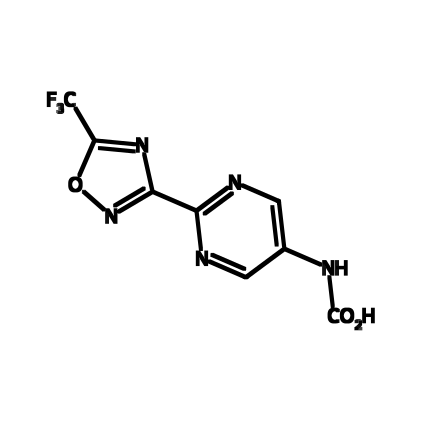 O=C(O)Nc1cnc(-c2noc(C(F)(F)F)n2)nc1